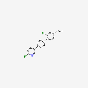 CCCCCc1ccc(-c2ccc(-c3ccc(F)nc3)cc2)c(F)c1